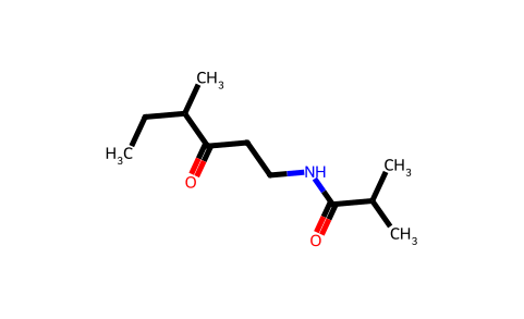 CCC(C)C(=O)CCNC(=O)C(C)C